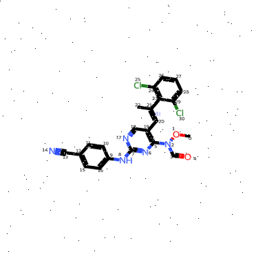 CON(C=O)c1nc(Nc2ccc(C#N)cc2)ncc1/C=C(\C)c1c(Cl)cccc1Cl